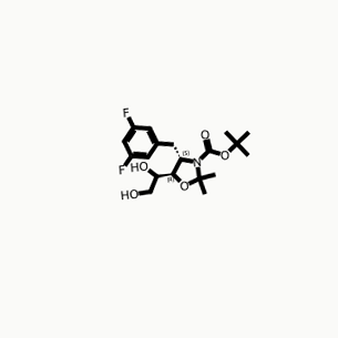 CC(C)(C)OC(=O)N1[C@@H](Cc2cc(F)cc(F)c2)[C@H](C(O)CO)OC1(C)C